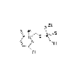 CCOP(O)(=S)SC[N+]1(C(C)C)N=C(Cl)C=CC1=S